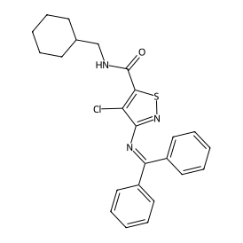 O=C(NCC1CCCCC1)c1snc(N=C(c2ccccc2)c2ccccc2)c1Cl